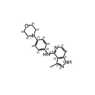 Cc1n[nH]c2ccnc(Nc3ccc(N4CCOCC4)cc3)c12